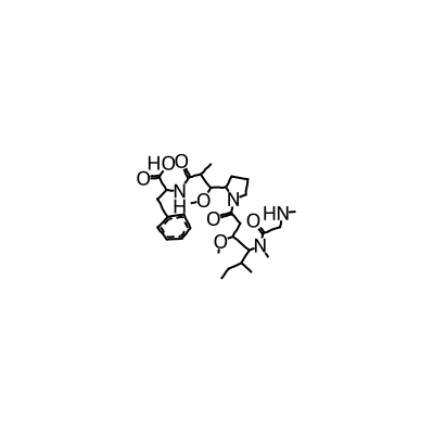 CCC(C)C(C(CC(=O)N1CCCC1C(OC)C(C)C(=O)NC(Cc1ccccc1)C(=O)O)OC)N(C)C(=O)CNC